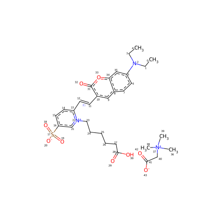 CCN(CC)c1ccc2cc(/C=C/c3ccc(S(=O)(=O)[O-])c[n+]3CCCCCC(=O)O)c(=O)oc2c1.C[N+](C)(C)CC(=O)[O-]